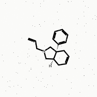 C=CCN1C[C@@H]2CC=CC[C@]2(c2ccccc2)C1